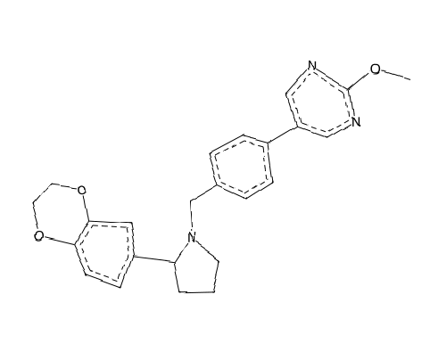 COc1ncc(-c2ccc(CN3CCCC3c3ccc4c(c3)OCCO4)cc2)cn1